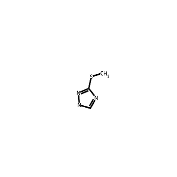 CSC1=N[N]C=N1